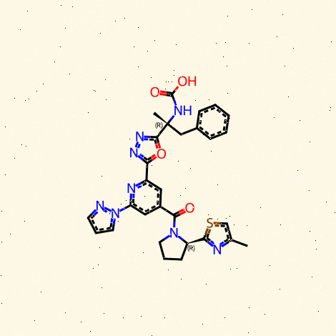 Cc1csc([C@H]2CCCN2C(=O)c2cc(-c3nnc([C@@](C)(Cc4ccccc4)NC(=O)O)o3)nc(-n3cccn3)c2)n1